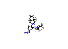 [N-]=[N+]=Nc1ccc(N2CC[C@H]3CCCC[C@@H]3C2)c(NC(=S)c2ccnc(Cl)c2)c1